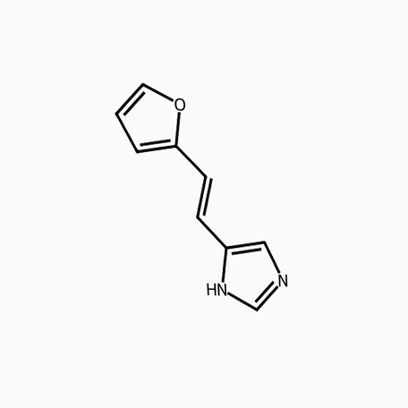 C(=C\c1ccco1)/c1cnc[nH]1